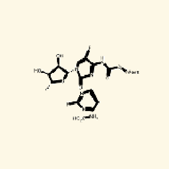 CCCCCOC(=O)Nc1nc(=O)n([C@@H]2O[C@H](C)[C@@H](O)[C@H]2O)cc1F.Fc1ncccn1.NC(=O)O